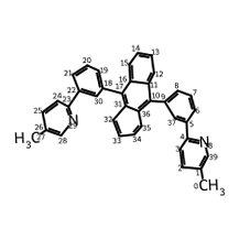 Cc1ccc(-c2cccc(-c3c4ccccc4c(-c4cccc(-c5ccc(C)cn5)c4)c4ccccc34)c2)nc1